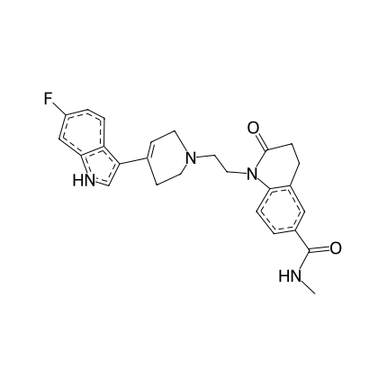 CNC(=O)c1ccc2c(c1)CCC(=O)N2CCN1CC=C(c2c[nH]c3cc(F)ccc23)CC1